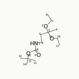 CCOC(C)(CCNC(=O)OC(C)(C)C)OCC